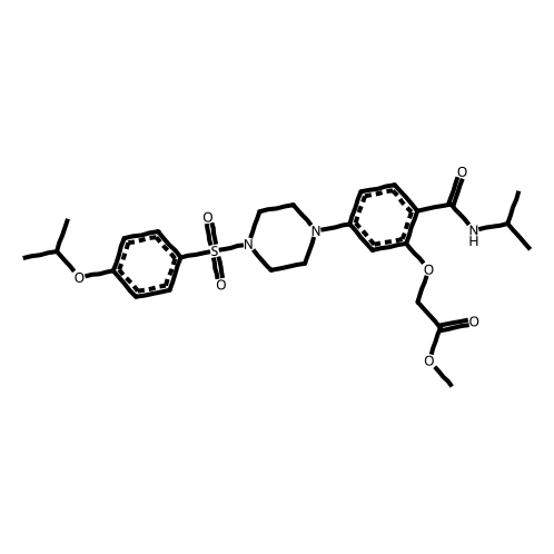 COC(=O)COc1cc(N2CCN(S(=O)(=O)c3ccc(OC(C)C)cc3)CC2)ccc1C(=O)NC(C)C